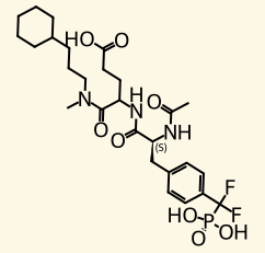 CC(=O)N[C@@H](Cc1ccc(C(F)(F)P(=O)(O)O)cc1)C(=O)NC(CCC(=O)O)C(=O)N(C)CCCC1CCCCC1